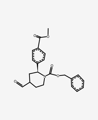 COC(=O)c1ccc([C@@H]2CC(C=O)CCN2C(=O)OCc2ccccc2)cc1